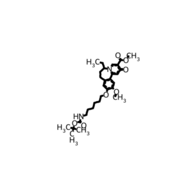 CCC1CCc2cc(OCCCCCCNC(=O)OC(C)(C)C)c(OC)cc2-c2cc(=O)c(C(=O)OC)cn21